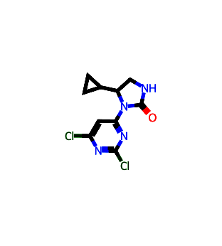 O=C1NCC(C2CC2)N1c1cc(Cl)nc(Cl)n1